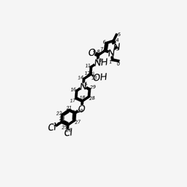 CCn1nc(C)cc1C(=O)NC[C@@H](O)CN1CCC(Oc2ccc(Cl)c(Cl)c2)CC1